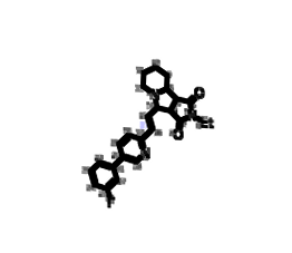 CCN1C(=O)C2C(C1=O)C1CCCCN1C2/C=C/c1ccc(-c2cccc(F)c2)cn1